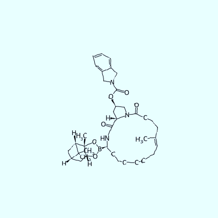 C/C1=C\CCCCCC[C@@H](B2O[C@@H]3C[C@@H]4C[C@@H](C4(C)C)[C@]3(C)O2)NC(=O)[C@@H]2C[C@@H](OC(=O)N3Cc4ccccc4C3)CN2C(=O)CCC1